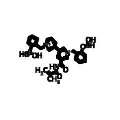 C=C(C)C(=O)NC(=O)c1cc(-c2ccc[n+](Cc3ccccc3B(O)O)c2)c[n+](Cc2ccccc2OBO)c1